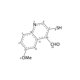 COc1ccc2ncc(S)c(C=O)c2c1